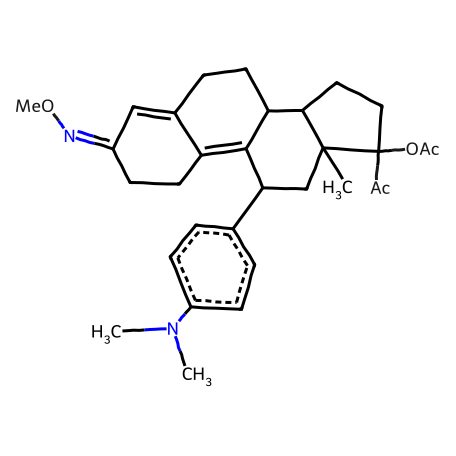 CO/N=C1\C=C2CCC3C(=C2CC1)C(c1ccc(N(C)C)cc1)CC1(C)C3CCC1(OC(C)=O)C(C)=O